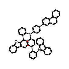 c1ccc(N(c2ccc(-c3ccc4c(ccc5ccccc54)c3)cc2)c2ccc(-c3ccccc3-n3c4ccccc4c4ccccc43)cc2)c(-c2cccc3c2oc2ccccc23)c1